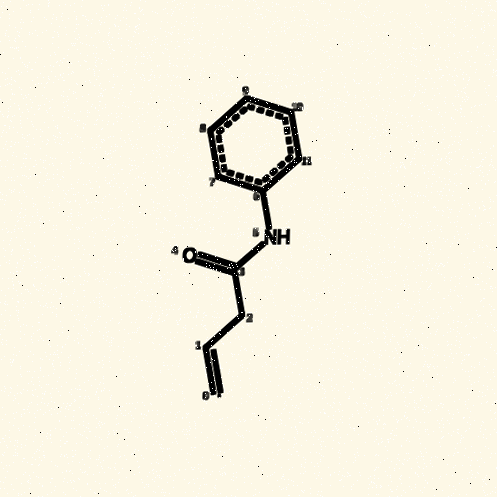 [C]=CCC(=O)Nc1ccccc1